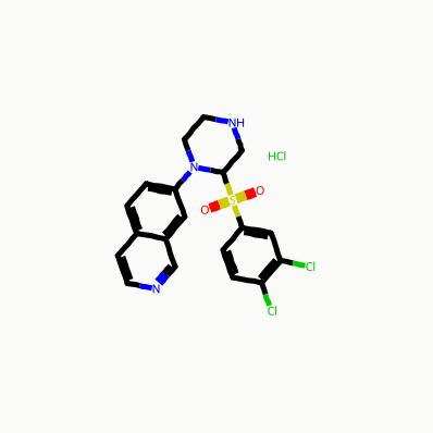 Cl.O=S(=O)(c1ccc(Cl)c(Cl)c1)C1CNCCN1c1ccc2ccncc2c1